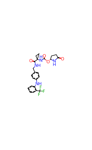 O=C1CCC(OC(=O)NC2(C(=O)NCc3ccc(Nc4ccccc4C(F)(F)F)cc3)CC2)N1